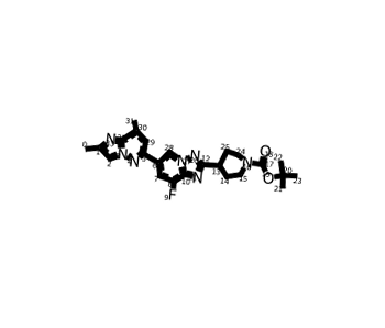 Cc1cn2nc(-c3cc(F)c4nc(C5CCN(C(=O)OC(C)(C)C)CC5)nn4c3)cc(C)c2n1